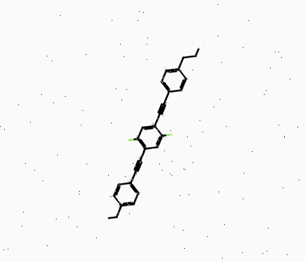 CCCc1ccc(C#Cc2cc(F)c(C#Cc3ccc(CC)cc3)cc2F)cc1